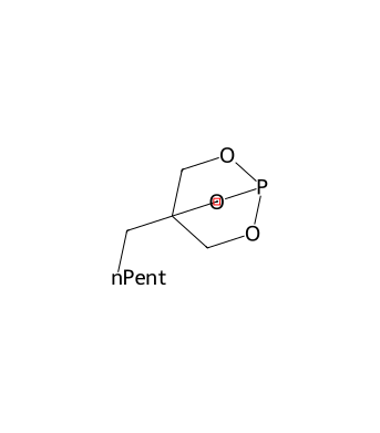 CCCCCCC12COP(OC1)OC2